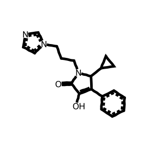 O=C1C(O)=C(c2ccccc2)C(C2CC2)N1CCCn1ccnc1